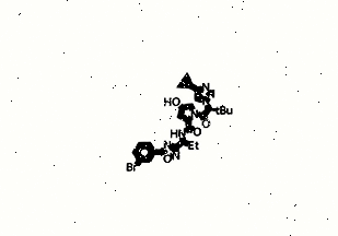 CCC(NC(=O)C1CC(O)CN1C(=O)[C@@H](n1cc(C2CC2)nn1)C(C)(C)C)c1noc(-c2cccc(Br)c2)n1